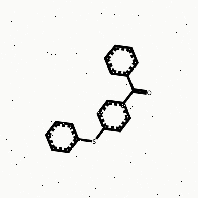 O=C(c1ccccc1)c1ccc(Sc2[c]cccc2)cc1